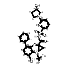 O=C(NS(=O)(=O)c1cccc(N2CC[C@H](O)C2)n1)C1(Oc2c(-c3ccccc3)ccc(Cl)c2OC(F)(F)F)CC1